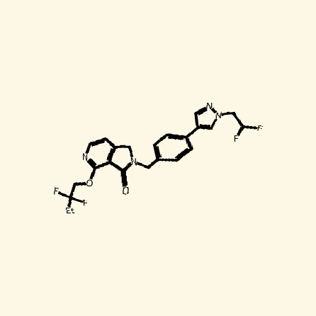 CCC(F)(F)COc1nccc2c1C(=O)N(Cc1ccc(-c3cnn(CC(F)F)c3)cc1)C2